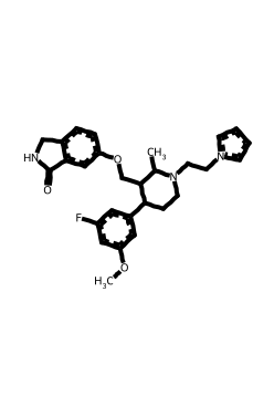 COc1cc(F)cc(C2CCN(CCn3cccc3)C(C)C2COc2ccc3c(c2)C(=O)NC3)c1